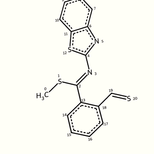 CSC(=Nc1nc2ccccc2s1)c1ccc[c]c1C=S